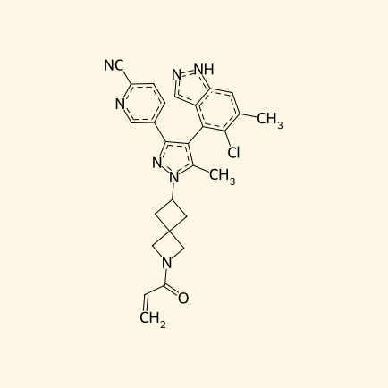 C=CC(=O)N1CC2(CC(n3nc(-c4ccc(C#N)nc4)c(-c4c(Cl)c(C)cc5[nH]ncc45)c3C)C2)C1